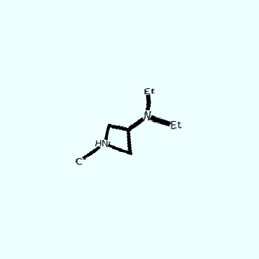 [CH2-][NH+]1CC(N(CC)CC)C1